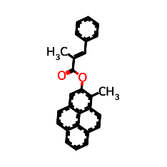 CC(=Cc1ccccc1)C(=O)Oc1cc2ccc3cccc4ccc(c1C)c2c34